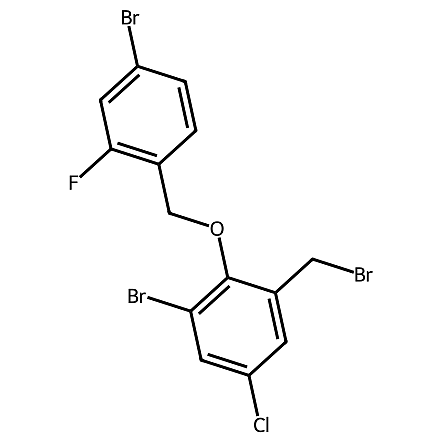 Fc1cc(Br)ccc1COc1c(Br)cc(Cl)cc1CBr